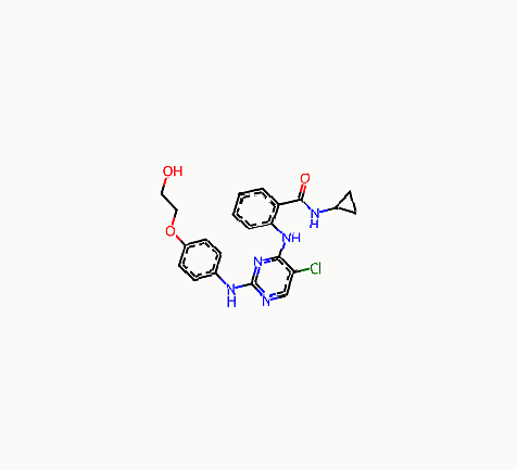 O=C(NC1CC1)c1ccccc1Nc1nc(Nc2ccc(OCCO)cc2)ncc1Cl